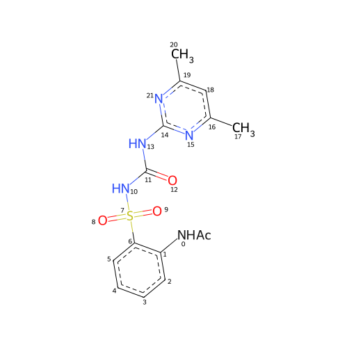 CC(=O)Nc1ccccc1S(=O)(=O)NC(=O)Nc1nc(C)cc(C)n1